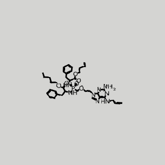 C=CCNc1nc(N)nc2c1ncn2CCOCP(=O)(NC(Cc1ccccc1)C(=O)OCCCC)NC(Cc1ccccc1)C(=O)OCCCCC